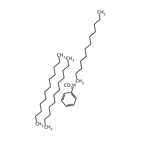 CCCCCCCCCCCC.CCCCCCCCCCCC.CCCCCCCCCCCC.O=C(O)c1ccccc1